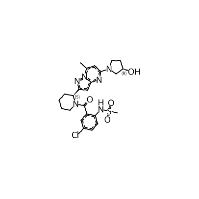 Cc1cc(N2CC[C@@H](O)C2)nc2cc([C@@H]3CCCCN3C(=O)c3cc(Cl)ccc3NS(C)(=O)=O)nn12